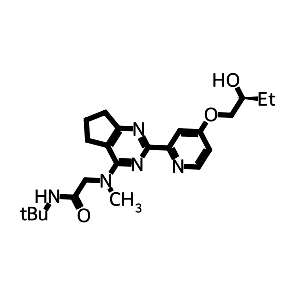 CC[C@H](O)COc1ccnc(-c2nc3c(c(N(C)CC(=O)NC(C)(C)C)n2)CCC3)c1